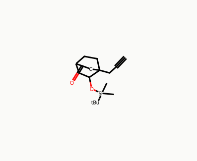 C#CCC12CCC(CC1O[Si](C)(C)C(C)(C)C)C(=O)C2